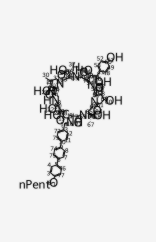 CCCCCOc1ccc(-c2ccc(-c3ccc(C(=O)N[C@H]4C[C@@H](O)[C@@H](O)NC(=O)[C@@H]5[C@@H](O)[C@@H](C)CN5C(=O)[C@H]([C@@H](C)O)NC(=O)[C@H]([C@H](O)[C@@H](O)c5ccc(O)cc5)NC(=O)[C@@H]5C[C@@H](O)CN5C(=O)C([C@@H](C)O)NC4=O)cc3)cc2)cc1